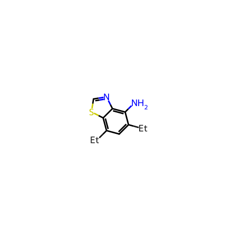 CCc1cc(CC)c2scnc2c1N